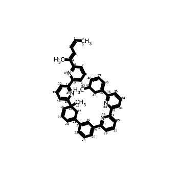 C/C=C\C=C(/C)c1cccc(-c2cccc(C3(C)C=CC=C(c4cccc(-c5cccc(-c6cccc(C7=CC=CC(C)C7)n6)n5)c4)C3)n2)n1